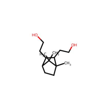 CC1(C)C2CCC1(C)C(CCO)C2CCO